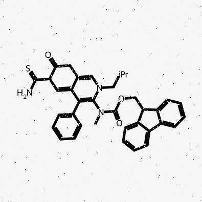 CC(C)CN1C=C2CC(=O)C(C(N)=S)C=C2C(c2ccccc2)=C1N(C)C(=O)OCC1c2ccccc2-c2ccccc21